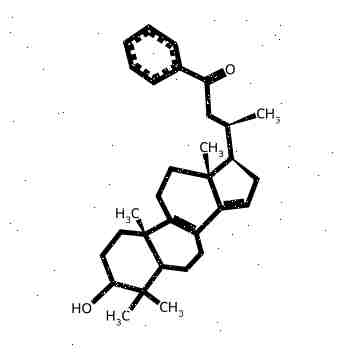 C[C@H](CC(=O)c1ccccc1)[C@H]1CC=C2C3=C(CC[C@@]21C)[C@@]1(C)CCC(O)C(C)(C)C1CC3